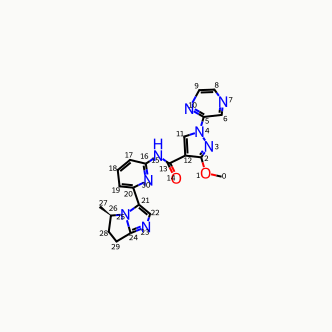 COc1nn(-c2cnccn2)cc1C(=O)Nc1cccc(-c2cnc3n2[C@H](C)CC3)n1